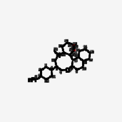 CCCC1CCC(C2COC3CCC4CCCCC4C3C3C4CCCCC4CCC3N(C)C2)CC1